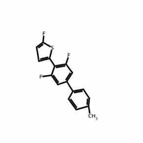 Cc1ccc(-c2cc(F)c(-c3ccc(F)s3)c(F)c2)cc1